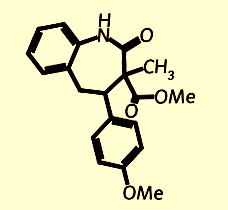 COC(=O)C1(C)C(=O)Nc2ccccc2CC1c1ccc(OC)cc1